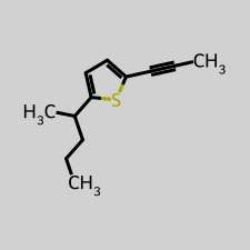 CC#Cc1ccc(C(C)CCC)s1